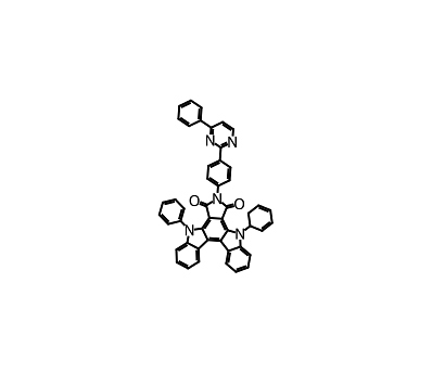 O=C1c2c(c3c(c4ccccc4n3C3C=CC=CC3)c3c4ccccc4n(-c4ccccc4)c23)C(=O)N1c1ccc(-c2nccc(-c3ccccc3)n2)cc1